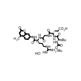 CC[C@H](C)[C@H](NC(=O)OC(C)(C)C)C(=O)N[C@@H](CCC(=O)O)C(=O)NCC(=O)N[C@@H](CCCNC(=N)N)C(=O)Nc1ccc2c(C)cc(=O)oc2c1.Cl